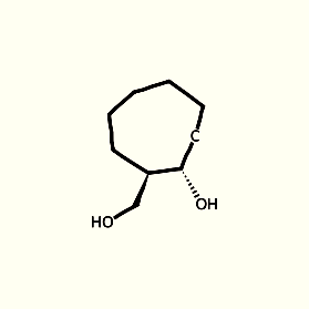 OC[C@H]1CCCCCC[C@@H]1O